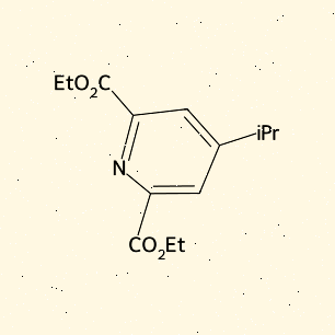 CCOC(=O)c1cc(C(C)C)cc(C(=O)OCC)n1